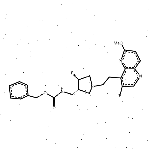 COc1ccc2ncc(F)c(CCN3C[C@H](CNC(=O)OCc4ccccc4)[C@@H](F)C3)c2n1